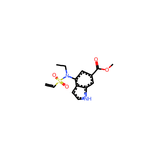 C=CS(=O)(=O)N(CC)c1cc(C(=O)OC)cc2[nH]ccc12